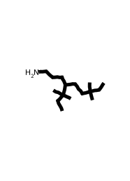 CCC(C)(C)CCC(CCCN)C(C)(C)CC